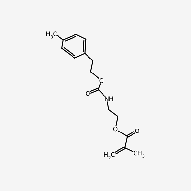 C=C(C)C(=O)OCCNC(=O)OCCc1ccc(C)cc1